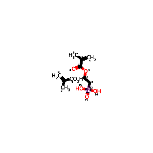 C=C(C)C(=O)O.C=C(C)C(=O)OCCP(=O)(O)O